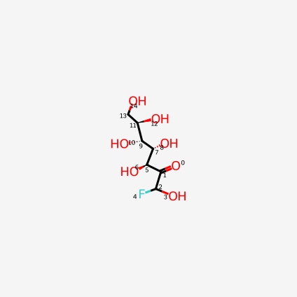 O=C(C(O)F)[C@@H](O)[C@@H](O)[C@H](O)[C@H](O)CO